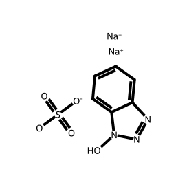 O=S(=O)([O-])[O-].On1nnc2ccccc21.[Na+].[Na+]